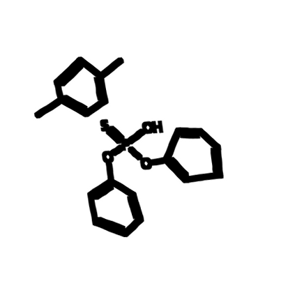 Cc1ccc(C)cc1.OP(=S)(Oc1ccccc1)Oc1ccccc1